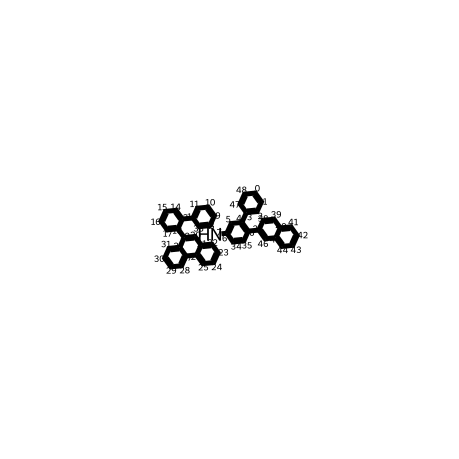 c1ccc(-c2cc(Nc3cccc(-c4ccccc4-c4cc5ccccc5c5ccccc45)c3)ccc2-c2ccc3ccccc3c2)cc1